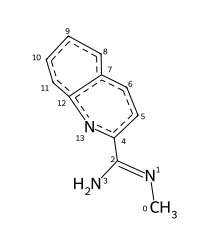 C/N=C(\N)c1ccc2ccccc2n1